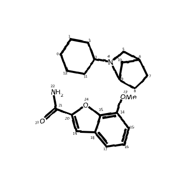 C1CCC(N2CC3CCC2C3)CC1.COc1cccc2cc(C(N)=O)oc12